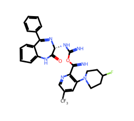 N=C(N[C@H]1N=C(c2ccccc2)c2ccccc2NC1=O)OC(=N)c1ncc(C(F)(F)F)cc1N1CCC(F)CC1